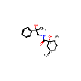 CC(C)[C@@H]1CC[C@@H](C)C[C@@]1(O)C(=O)NCC(C)(O)c1ccccc1